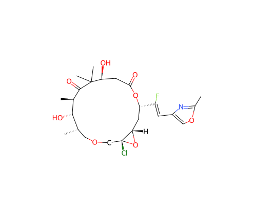 Cc1nc(C=C(F)[C@@H]2C[C@@H]3O[C@]3(Cl)COC[C@H](C)[C@H](O)[C@@H](C)C(=O)C(C)(C)[C@@H](O)CC(=O)O2)co1